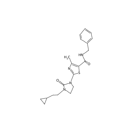 Cc1nc(N2CCN(CCC3CC3)C2=O)sc1C(=O)NCc1ccccc1